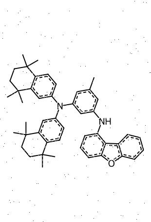 Cc1cc(Nc2cccc3oc4ccccc4c23)cc(N(c2ccc3c(c2)C(C)(C)CCC3(C)C)c2ccc3c(c2)C(C)(C)CCC3(C)C)c1